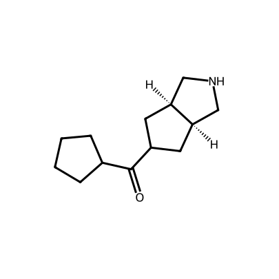 O=C(C1CCCC1)C1C[C@H]2CNC[C@H]2C1